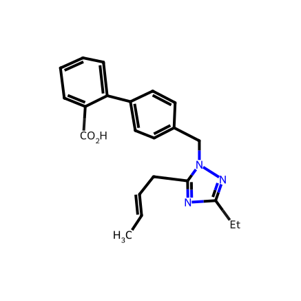 C/C=C/Cc1nc(CC)nn1Cc1ccc(-c2ccccc2C(=O)O)cc1